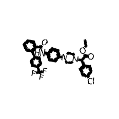 CCOC(=O)C(c1ccc(Cl)cc1)N1CCN(c2ccc(NC(=O)c3ccccc3-c3ccc(C(F)(F)F)cc3)cc2)CC1